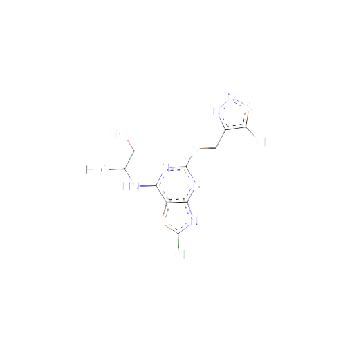 CC(CO)Nc1nc(SCc2nnsc2Cl)nc2nc(Cl)sc12